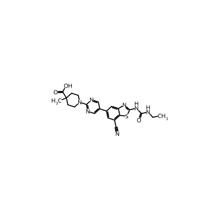 CCNC(=O)Nc1nc2cc(-c3cnc(N4CCC(C)(C(=O)O)CC4)nc3)cc(C#N)c2s1